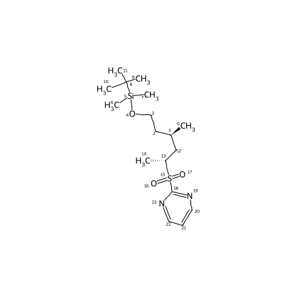 C[C@H](CCO[Si](C)(C)C(C)(C)C)C[C@@H](C)S(=O)(=O)c1ncccn1